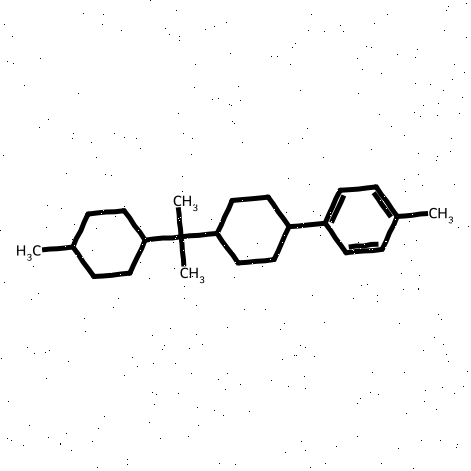 Cc1ccc(C2CCC(C(C)(C)C3CCC(C)CC3)CC2)cc1